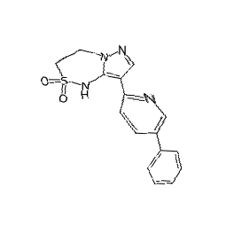 O=S1(=O)CCn2ncc(-c3ccc(-c4ccccc4)cn3)c2N1